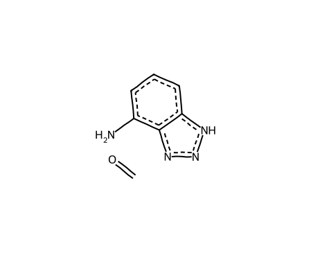 C=O.Nc1cccc2[nH]nnc12